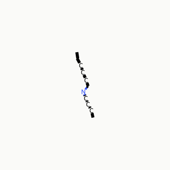 C=C=C=C=C=CN=C=C=C=C